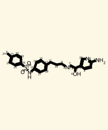 Nc1ccc(C(O)CNCCCc2ccc(NS(=O)(=O)c3ccc(I)cc3)cc2)cn1